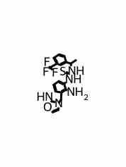 CC(NC(=S)Nc1cccc(Cn2ccoc2=N)c1N)c1cccc(C(F)(F)F)c1